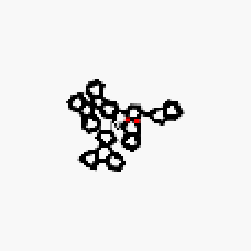 c1ccc2c(c1)-c1ccccc1C21c2ccccc2-c2cc(-c3ccc(-c4ccc5ccccc5c4)cc3)c(N(c3ccc4c5ccccc5c5ccccc5c4c3)c3cccc4ccccc34)cc21